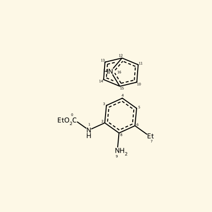 CCOC(=O)Nc1cccc(CC)c1N.c1cc2ccc1[nH]2